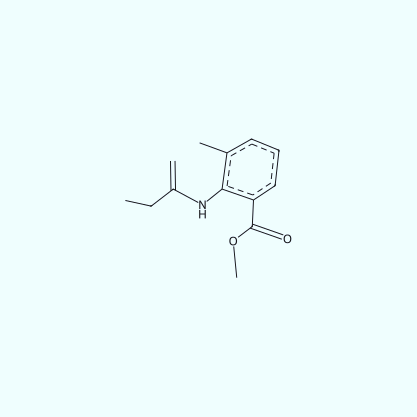 C=C(CC)Nc1c(C)cccc1C(=O)OC